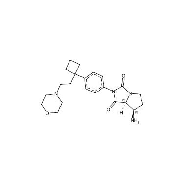 N[C@@H]1CCN2C(=O)N(c3ccc(C4(CCN5CCOCC5)CCC4)cc3)C(=O)[C@H]12